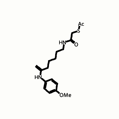 C=C(CCCCCNC(=O)CSC(C)=O)Nc1ccc(OC)cc1